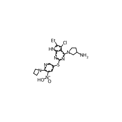 CCc1[nH]c2nc(Sc3cnc(N4CCC4)c([N+](=O)O)c3)nc(N3CCC(N)C3)c2c1Cl